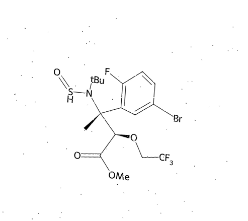 COC(=O)[C@H](OCC(F)(F)F)[C@@](C)(c1cc(Br)ccc1F)N([SH]=O)C(C)(C)C